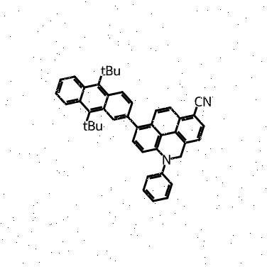 CC(C)(C)c1c2ccccc2c(C(C)(C)C)c2cc(-c3ccc4c5c3ccc3c(C#N)ccc(c35)CN4c3ccccc3)ccc12